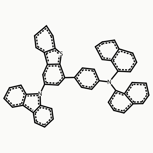 c1ccc2c(N(c3ccc(-c4cc(-n5c6ccccc6c6ccccc65)cc5c4sc4ccccc45)cc3)c3cccc4ccccc34)cccc2c1